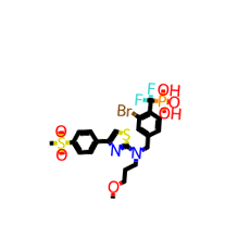 COCCCN(Cc1ccc(C(F)(F)P(=O)(O)O)c(Br)c1)c1nc(-c2ccc(S(C)(=O)=O)cc2)cs1